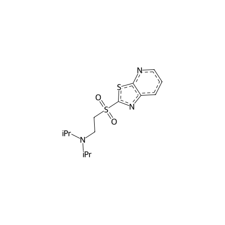 CC(C)N(CCS(=O)(=O)c1nc2cccnc2s1)C(C)C